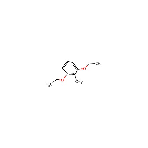 [CH2]c1c(OCC(F)(F)F)cccc1OCC(F)(F)F